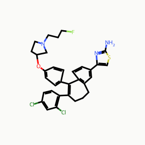 Nc1nc(-c2ccc3c(c2)CCCC(c2ccc(Cl)cc2Cl)=C3c2ccc(OC3CCN(CCCF)C3)cc2)cs1